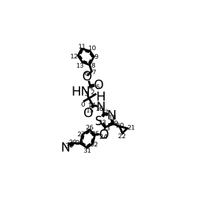 CC(C)(NC(=O)OCc1ccccc1)C(=O)Nc1nc(C2CC2)c(Oc2ccc(C#N)cc2)s1